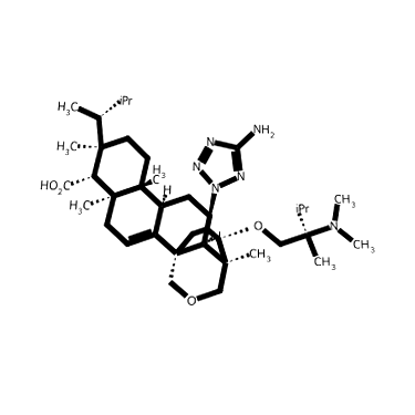 CC(C)[C@@H](C)[C@@]1(C)CC[C@]2(C)[C@H]3CC[C@@H]4[C@@]5(COC[C@]4(C)[C@@H](OC[C@@](C)(C(C)C)N(C)C)[C@H](n4nnc(N)n4)C5)C3=CC[C@@]2(C)[C@@H]1C(=O)O